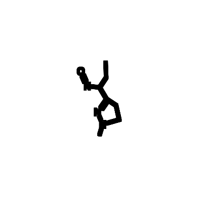 CCC(N=O)C1=NN(C)CC1